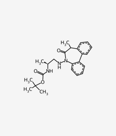 CC1C(=O)N(NC[C@H](C)NC(=O)OC(C)(C)C)c2ccccc2-c2ccccc21